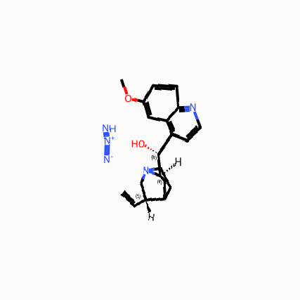 C=C[C@@H]1CN2CCC1C[C@@H]2[C@H](O)c1ccnc2ccc(OC)cc12.[N-]=[N+]=N